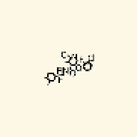 Cc1ccc(C(F)(F)CNC(=O)c2c(Oc3cccc(Cl)c3F)cnc(Cl)c2C)cc1C